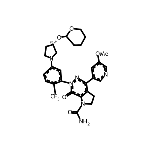 COc1cncc(-c2nn(-c3cc(N4CC[C@H](OC5CCCCO5)C4)ccc3C(F)(F)F)c(=O)c3c2CCN3C(N)=O)c1